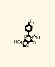 CCSn1c(-c2ccc(C(F)(F)F)cc2)nc2c(ncn2O)c1=O